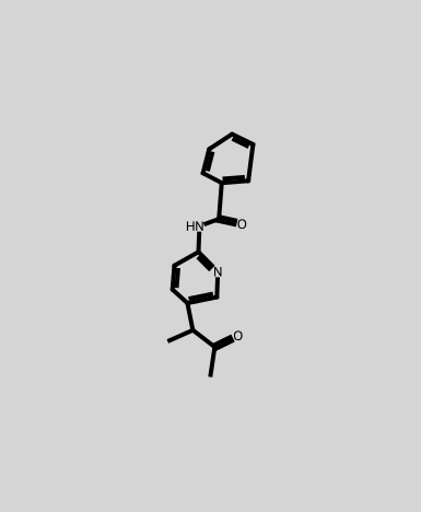 CC(=O)C(C)c1ccc(NC(=O)c2ccccc2)nc1